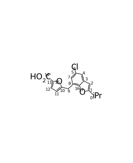 CC(C)c1cc2cc(Cl)cc(Cc3ccc(C(=O)O)o3)c2o1